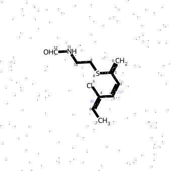 C=C(/C=C\C(Cl)=C/C)SCCNC=O